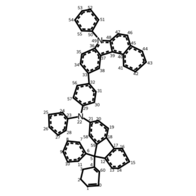 C1=CCCC(C2(c3ccccc3)c3ccccc3-c3ccc(N(c4ccccc4)c4ccc(-c5ccc6c(c5)c5c7ccccc7ccc5n6-c5ccccc5)cc4)cc32)=C1